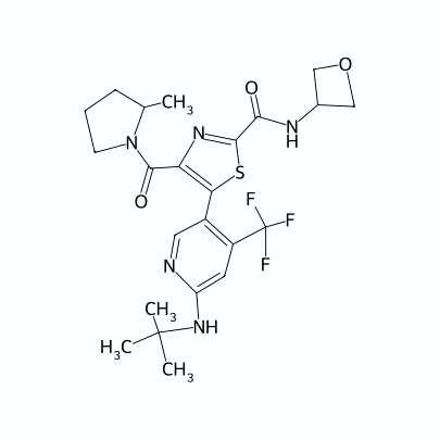 CC1CCCN1C(=O)c1nc(C(=O)NC2COC2)sc1-c1cnc(NC(C)(C)C)cc1C(F)(F)F